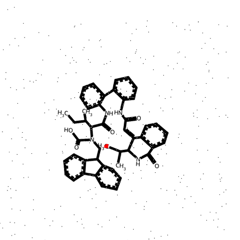 CCC(C)C1NC(=O)c2ccccc2C1=CC(=O)Nc1ccccc1-c1ccccc1NC(=O)C(C(C)CC)N(CC1c2ccccc2-c2ccccc21)C(=O)O